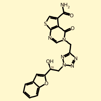 NC(=O)c1csc2ncn(Cc3nnn(C[C@H](O)c4cc5ccccc5o4)n3)c(=O)c12